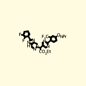 CCCOc1ccc(-c2ncc(C(C(=O)OCC)N3Cc4nc(-c5cccc(F)c5F)[nH]c4C=N3)cn2)c(C(F)(F)F)c1